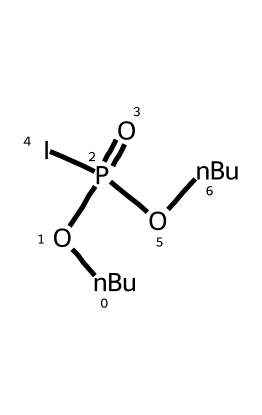 CCCCOP(=O)(I)OCCCC